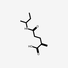 C=C(CCC(=O)NC(C)CC)C(=O)O